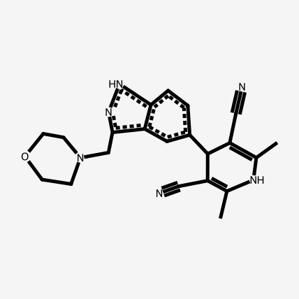 CC1=C(C#N)C(c2ccc3[nH]nc(CN4CCOCC4)c3c2)C(C#N)=C(C)N1